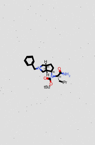 CC(C)C[C@@H](C(N)=O)N(C(=O)OC(C)(C)C)[C@@H]1CC[C@H]2CN(Cc3ccccc3)C[C@H]21